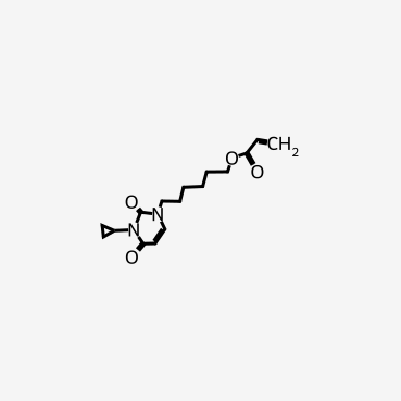 C=CC(=O)OCCCCCCn1ccc(=O)n(C2CC2)c1=O